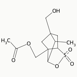 CC(=O)OCC12CC3(CO)CC1S(=O)(=O)OC2C3C